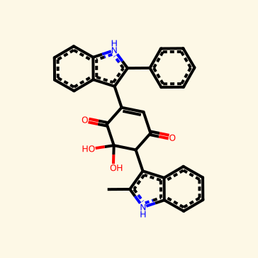 Cc1[nH]c2ccccc2c1C1C(=O)C=C(c2c(-c3ccccc3)[nH]c3ccccc23)C(=O)C1(O)O